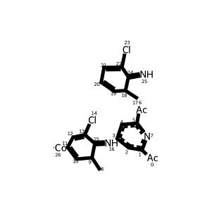 CC(=O)c1cccc(C(C)=O)n1.CC1C=CC=C(Cl)C1=N.CC1C=CC=C(Cl)C1=N.[Co]